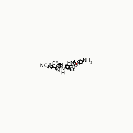 CCc1cc(Nc2nccn3c(-c4cn(CC#N)nc4C(F)(F)F)cnc23)ccc1C(=O)NC(C)C(=O)N1CCC(N)CC1